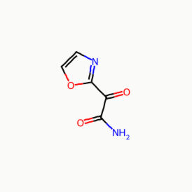 NC(=O)C(=O)c1ncco1